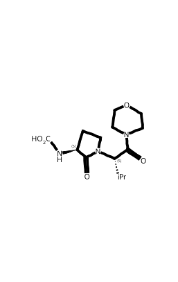 CC(C)[C@@H](C(=O)N1CCOCC1)N1CC[C@H](NC(=O)O)C1=O